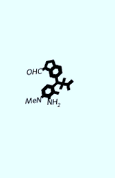 C=C(C)C(C)(C)C(c1ccc2c(c1)C(C=O)CC2)c1ccc(NC)c(N)c1C